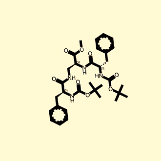 COC(=O)[C@H](CNC(=O)[C@H](Cc1ccccc1)NC(=O)OC(C)(C)C)NC(=O)[C@H](Cc1ccccc1)NC(=O)OC(C)(C)C